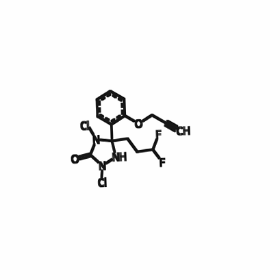 C#CCOc1ccccc1C1(CCC(F)F)NN(Cl)C(=O)N1Cl